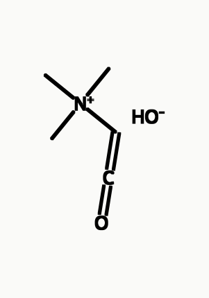 C[N+](C)(C)C=C=O.[OH-]